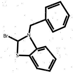 BrC1Sc2ccccc2N1Cc1ccccc1